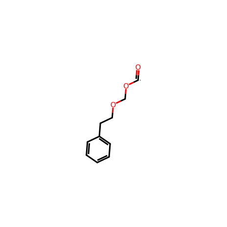 O=[C]OCOCCc1ccccc1